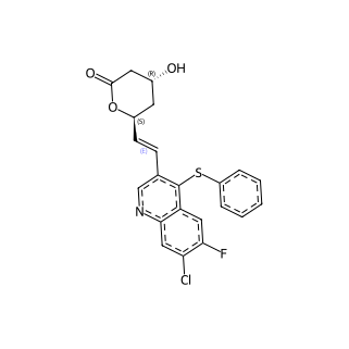 O=C1C[C@H](O)C[C@@H](/C=C/c2cnc3cc(Cl)c(F)cc3c2Sc2ccccc2)O1